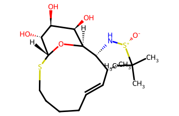 C[C@@H]1/C=C/CCCCS[C@H]2O[C@@H]([C@H](O)[C@H](O)[C@H]2O)[C@@H]1N[S@+]([O-])C(C)(C)C